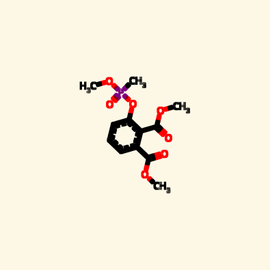 COC(=O)c1cccc(OP(C)(=O)OC)c1C(=O)OC